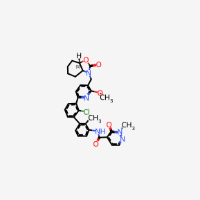 COc1nc(-c2cccc(-c3cccc(NC(=O)c4ccnn(C)c4=O)c3C)c2Cl)ccc1CN1C(=O)O[C@H]2CCCCC21